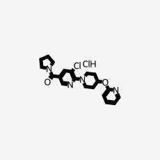 Cl.O=C(c1cnc(N2CCC(Oc3ccccn3)CC2)c(Cl)c1)N1CCCC1